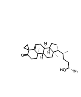 CC(C)[C@H](O)CC[C@@H](C)[C@H]1CC[C@H]2[C@@H]3CC=C4C5(CC5)C(=O)CC[C@]4(C)[C@H]3CC[C@]12C